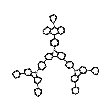 c1ccc(-c2ccc3c(c2)c2cc(-c4ccccc4)ccc2n3-c2ccc(-c3ccc4c(c3)c3cc(-c5ccc(-n6c7ccc(-c8ccccc8)cc7c7cc(-c8ccccc8)ccc76)cc5)ccc3n4-c3ccc(-c4c5ccccc5c(-c5ccccc5)c5ccccc45)cc3)cc2)cc1